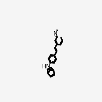 C\C=C/C(/C=C/c1ccc(NC2C3C=CC2CC3)cc1)=C\C=N\C